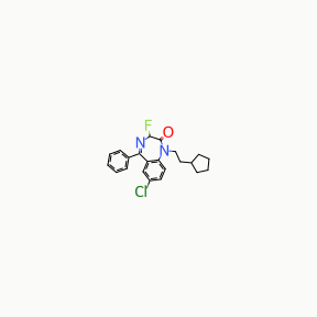 O=C1C(F)N=C(c2ccccc2)c2cc(Cl)ccc2N1CCC1CCCC1